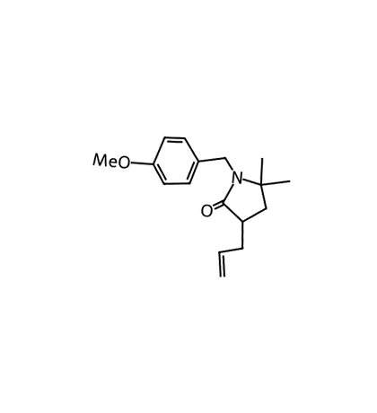 C=CCC1CC(C)(C)N(Cc2ccc(OC)cc2)C1=O